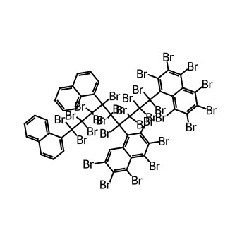 Brc1cc2c(C(Br)(C(Br)(Br)C(Br)(Br)C(Br)(Br)c3c(Br)c(Br)c(Br)c4c(Br)c(Br)c(Br)c(Br)c34)C(Br)(Br)C(Br)(c3cccc4ccccc34)C(Br)(Br)C(Br)(Br)C(Br)(Br)c3cccc4ccccc34)c(Br)c(Br)c(Br)c2c(Br)c1Br